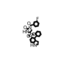 O=C1NC(S(=O)(=O)c2ccc3c(c2-c2ccccc2)CCN3)CN1C(=O)c1cccc(F)c1